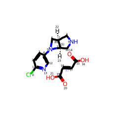 Clc1ccc(N2C[C@H]3CNC[C@H]32)cn1.O=C(O)/C=C/C(=O)O